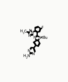 Cc1ncn(-c2ccc(F)cc2-c2nc3cc(-c4cnc(N)nc4)ccc3n2C(C)(C)C)n1